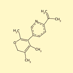 C=C(C)c1ccc(C2=C(C)OCC(C)=C2C)cn1